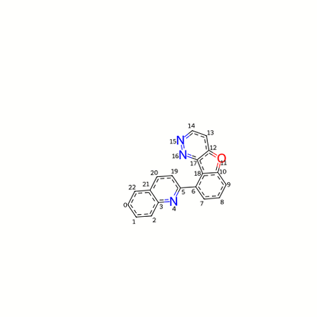 c1ccc2nc(-c3cccc4oc5ccnnc5c34)ccc2c1